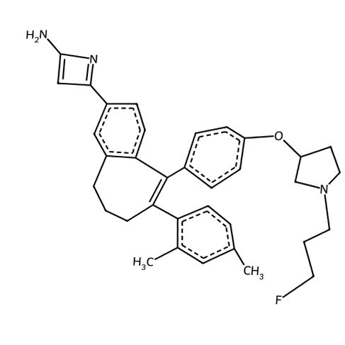 Cc1ccc(C2=C(c3ccc(OC4CCN(CCCF)C4)cc3)c3ccc(C4=NC(N)=C4)cc3CCC2)c(C)c1